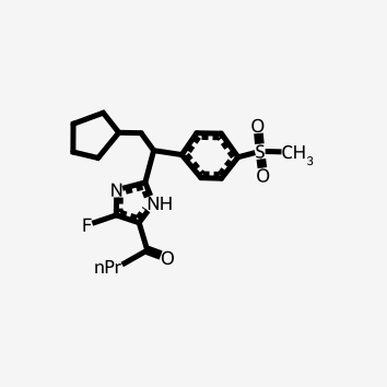 CCCC(=O)c1[nH]c(C(CC2CCCC2)c2ccc(S(C)(=O)=O)cc2)nc1F